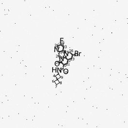 O=C(NC1CC2(CCC2)C1)c1cc2cc(Br)cnc2n(Cc2ccc(F)cn2)c1=O